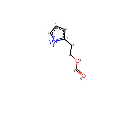 O=COC[CH]c1ccc[nH]1